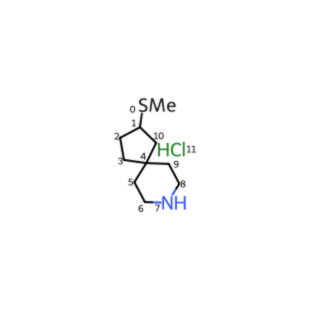 CSC1CCC2(CCNCC2)C1.Cl